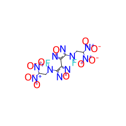 O=[N+]([O-])C(CN(F)c1nonc1-c1nonc1N(F)CC([N+](=O)[O-])[N+](=O)[O-])[N+](=O)[O-]